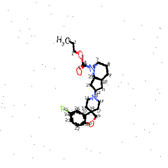 CCCOC(=O)N1CCCC2CC(N3CCC4(CC3)COc3ccc(F)cc34)CC21